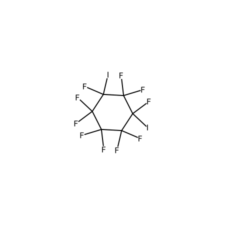 FC1(F)C(F)(F)C(F)(I)C(F)(F)C(F)(I)C1(F)F